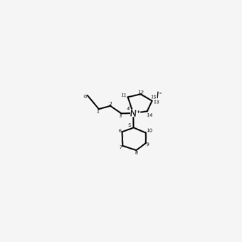 CCCC[N+]1(C2CCCCC2)CCCC1.[I-]